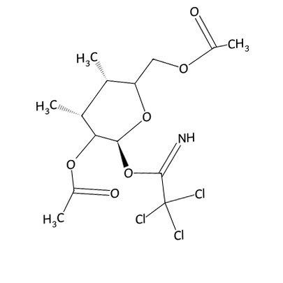 CC(=O)OCC1O[C@@H](OC(=N)C(Cl)(Cl)Cl)C(OC(C)=O)[C@H](C)[C@@H]1C